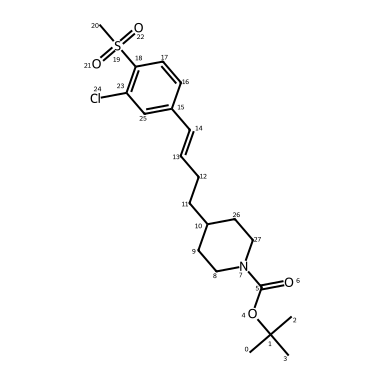 CC(C)(C)OC(=O)N1CCC(CCC=Cc2ccc(S(C)(=O)=O)c(Cl)c2)CC1